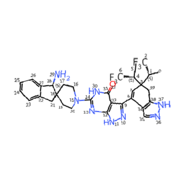 C[C@H](C(F)(F)F)C1([C@H](C)C(F)(F)F)C=C(c2n[nH]c3nc(N4CCC5(CC4)Cc4ccccc4[C@H]5N)[nH]c(=O)c23)c2cn[nH]c2C1